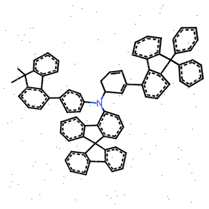 CC1(C)c2ccccc2-c2c(-c3ccc(N(c4cccc5c4-c4ccccc4C54c5ccccc5-c5ccccc54)C4C=C(c5cccc6c5-c5ccccc5C6(c5ccccc5)c5ccccc5)C=CC4)cc3)cccc21